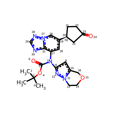 CC(C)(C)OC(=O)N(c1cc2n(n1)CCOC2)c1cc([C@H]2CCC(=O)C2)cn2ncnc12